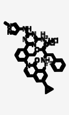 Cl.Cl.Cn1cc(Nc2nc(N)nc(-c3cccc(-n4ccc5cc(C6CC6)cc(F)c5c4=O)c3COC(=O)C(N)Cc3ccccc3)n2)cn1